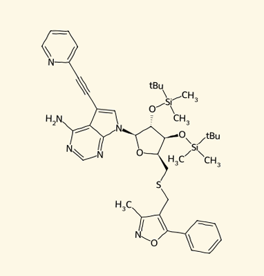 Cc1noc(-c2ccccc2)c1CSC[C@H]1O[C@@H](n2cc(C#Cc3ccccn3)c3c(N)ncnc32)[C@H](O[Si](C)(C)C(C)(C)C)[C@H]1O[Si](C)(C)C(C)(C)C